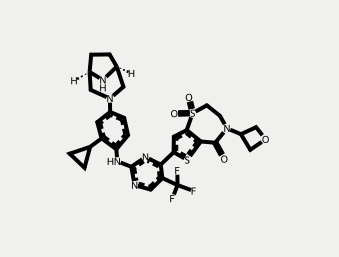 O=C1c2sc(-c3nc(Nc4ccc(N5C[C@H]6CC[C@@H](C5)N6)cc4C4CC4)ncc3C(F)(F)F)cc2S(=O)(=O)CCN1C1COC1